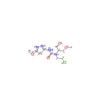 COCC(C=O)N(CCCl)C(=O)Nc1nnc(OC)s1